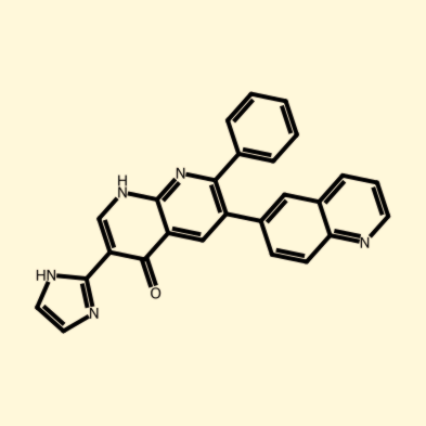 O=c1c(-c2ncc[nH]2)c[nH]c2nc(-c3ccccc3)c(-c3ccc4ncccc4c3)cc12